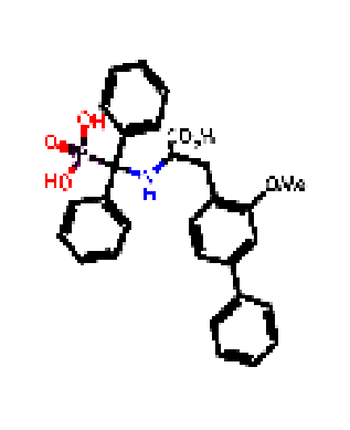 COc1cc(-c2ccccc2)ccc1CC(NC(c1ccccc1)(c1ccccc1)P(=O)(O)O)C(=O)O